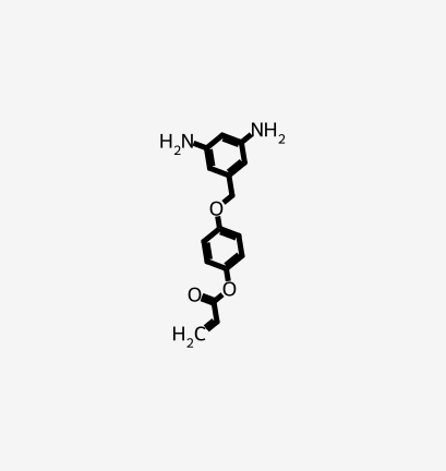 C=CC(=O)Oc1ccc(OCc2cc(N)cc(N)c2)cc1